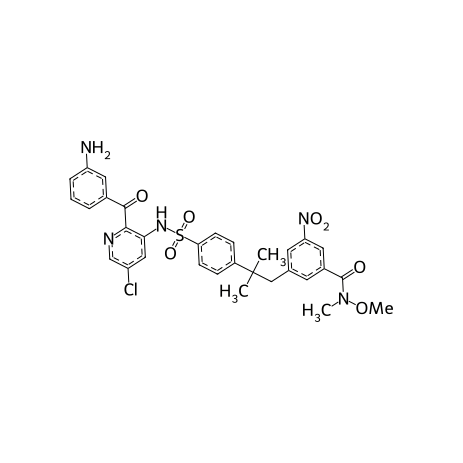 CON(C)C(=O)c1cc(CC(C)(C)c2ccc(S(=O)(=O)Nc3cc(Cl)cnc3C(=O)c3cccc(N)c3)cc2)cc([N+](=O)[O-])c1